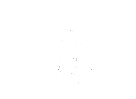 CN(Cc1ccc(-c2noc(C(F)(F)Cl)n2)cc1)c1c(NCc2cn(C)cn2)c(=O)c1=O